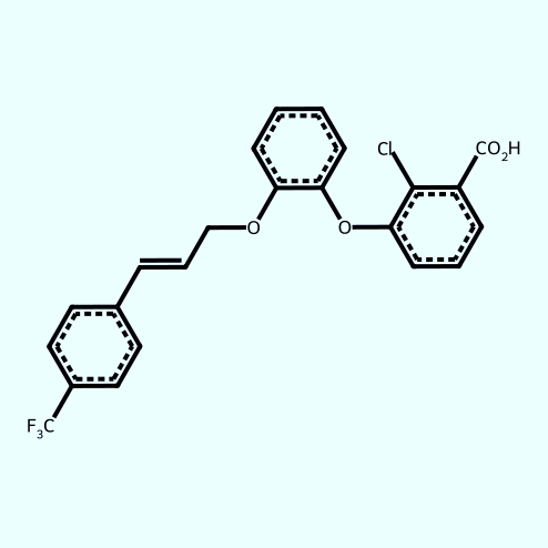 O=C(O)c1cccc(Oc2ccccc2OCC=Cc2ccc(C(F)(F)F)cc2)c1Cl